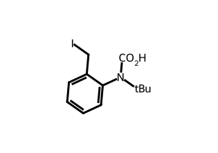 CC(C)(C)N(C(=O)O)c1ccccc1CI